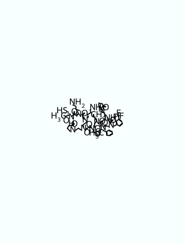 C=CCN(CC(=O)N(CC(=O)N(CCCN1CCCC1=O)CC(=O)N(CCCCN)CC(=O)N(CCCCN)CC(=O)N[C@H](CS)C(C)=O)CC1CCCO1)C(=O)CN(C(=O)CN(Cc1cccc(C(F)(F)F)c1)C(=O)CNCCCN1CCCC1=O)[C@@H](C)c1ccccc1